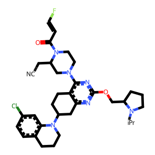 CC(C)N1CCCC1COc1nc2c(c(N3CCN(C(=O)C=CF)C(CC#N)C3)n1)CCC(N1CCCc3ccc(Cl)cc31)C2